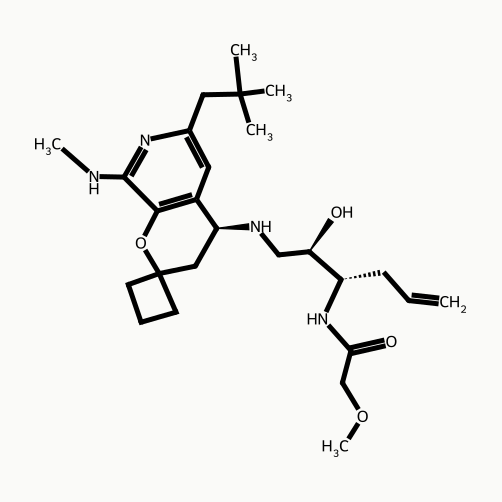 C=CC[C@H](NC(=O)COC)[C@H](O)CN[C@H]1CC2(CCC2)Oc2c1cc(CC(C)(C)C)nc2NC